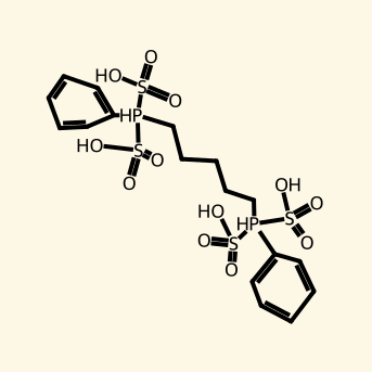 O=S(=O)(O)[PH](CCCCC[PH](c1ccccc1)(S(=O)(=O)O)S(=O)(=O)O)(c1ccccc1)S(=O)(=O)O